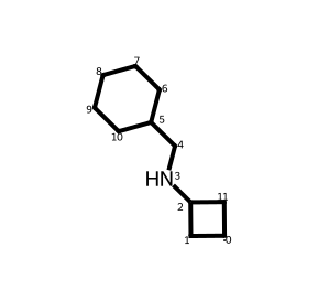 [CH]1CC(NCC2CCCCC2)C1